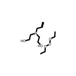 C=CCN(CCO)CCO.CCOOOCC